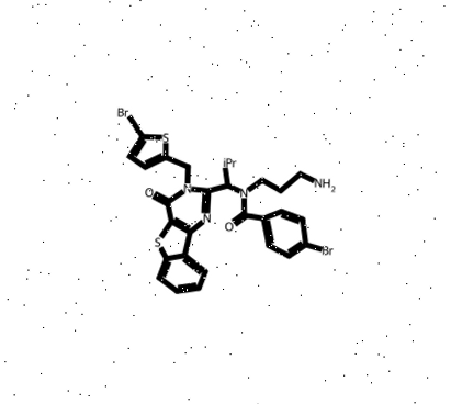 CC(C)C(c1nc2c(sc3ccccc32)c(=O)n1Cc1ccc(Br)s1)N(CCCN)C(=O)c1ccc(Br)cc1